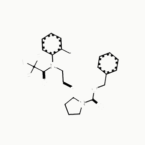 O=C(OCc1ccccc1)N1CCC[C@@H]1C=CCN(C(=O)C(F)(F)F)c1ccccc1I